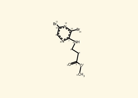 COC(=O)CCNc1ncc(Br)nc1Br